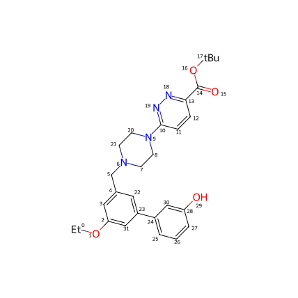 CCOc1cc(CN2CCN(c3ccc(C(=O)OC(C)(C)C)nn3)CC2)cc(-c2cccc(O)c2)c1